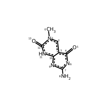 Cn1cc2c(=O)nc(N)nc-2[nH]c1=O